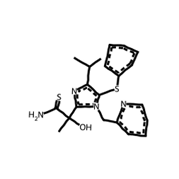 CC(C)c1nc(C(C)(O)C(N)=S)n(Cc2ccccn2)c1Sc1ccccc1